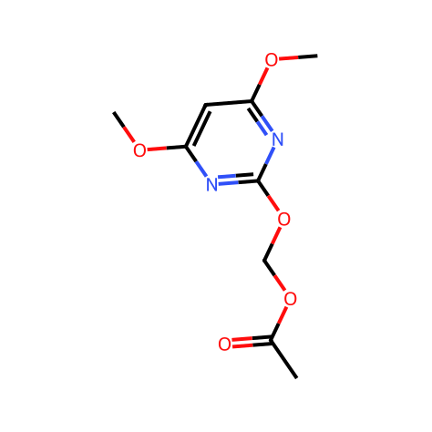 COc1cc(OC)nc(OCOC(C)=O)n1